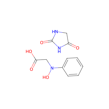 O=C(O)CN(O)c1ccccc1.O=C1CNC(=O)N1